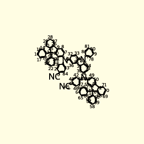 N#Cc1ccc(N(c2ccc3c(c2)C(c2ccccc2)(c2ccccc2)C2=C3CCC=C2)c2ccc3c(c2)c2cc(N(c4ccc(C#N)cc4)c4ccc5c(c4)C(c4ccccc4)(c4ccccc4)c4ccccc4-5)ccc2n3-c2ccccc2)cc1